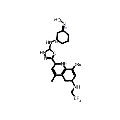 CC1=CC(C2=NNC(N[C@@H]3CCC/C(=N/O)C3)O2)NC2=C1CC(NCC(F)(F)F)C=C2C(C)(C)C